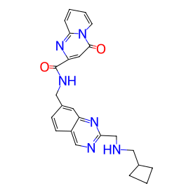 O=C(NCc1ccc2cnc(CNCC3CCC3)nc2c1)c1cc(=O)n2ccccc2n1